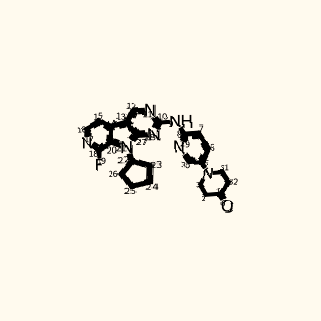 O=C1CCN(c2ccc(Nc3ncc4c5ccnc(F)c5n(C5CCCC5)c4n3)nc2)CC1